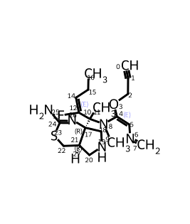 C#CCO/C(=C/N=C)N(C)C(C)(/C(F)=C\CC)[C@]12CNC[C@H]1CSC(N)=N2